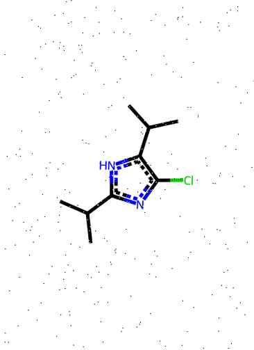 CC(C)c1nc(Cl)c(C(C)C)[nH]1